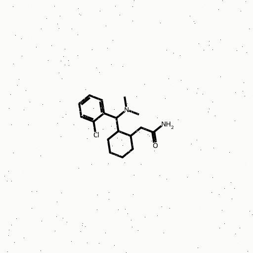 CN(C)C(c1ccccc1Cl)C1CCCCC1CC(N)=O